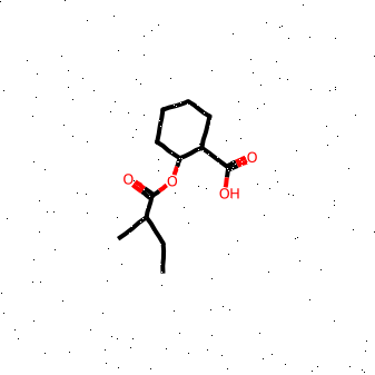 CCC(C)C(=O)OC1CCCCC1C(=O)O